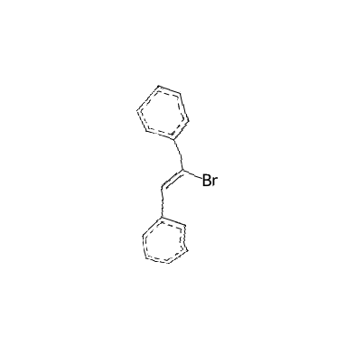 BrC(=Cc1ccccc1)c1ccccc1